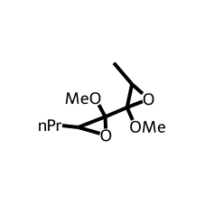 CCCC1OC1(OC)C1(OC)OC1C